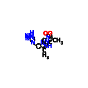 CC(C)[C@H]1COC(=O)N1c1ccnc(N[C@@H](C)c2ccc(CN3CCN/C(=N\N)C3)cc2)n1